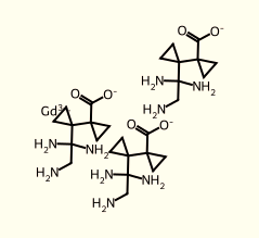 NCC(N)(N)C1(C2(C(=O)[O-])CC2)CC1.NCC(N)(N)C1(C2(C(=O)[O-])CC2)CC1.NCC(N)(N)C1(C2(C(=O)[O-])CC2)CC1.[Gd+3]